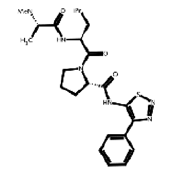 CN[C@@H](C)C(=O)N[C@@H](CC(C)C)C(=O)N1CCC[C@H]1C(=O)Nc1snnc1-c1ccccc1